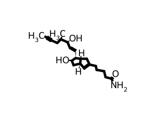 CC#CC[C@@H](C)[C@H](O)/C=C/[C@@H]1[C@H]2CC(CCCCC(N)=O)=C[C@H]2C[C@H]1O